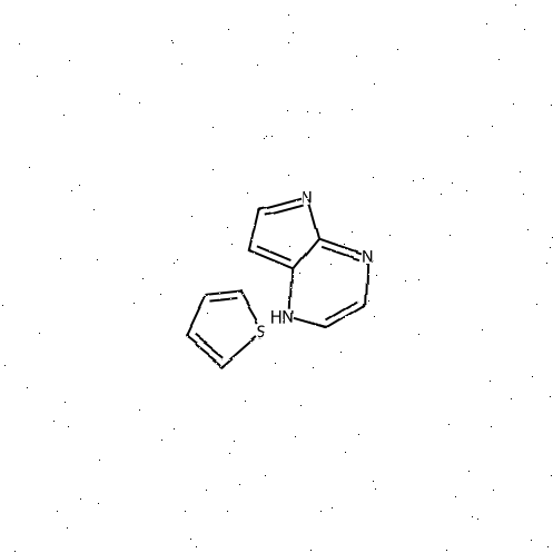 c1c[nH]c2ccnc-2n1.c1ccsc1